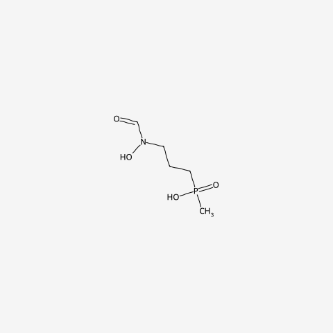 CP(=O)(O)CCCN(O)C=O